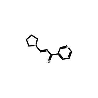 O=C(/C=C/N1CCCC1)c1cccnc1